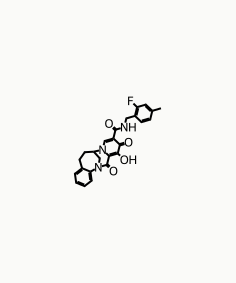 Cc1ccc(CNC(=O)c2cn3c(c(O)c2=O)C(=O)N2CC3CCc3ccccc32)c(F)c1